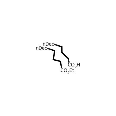 CCCCCCCCCCCCCC(=O)O.CCCCCCCCCCCCCC(=O)OCC